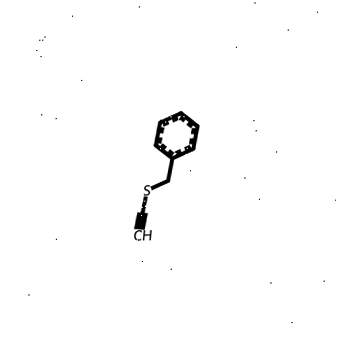 C#CSCc1ccccc1